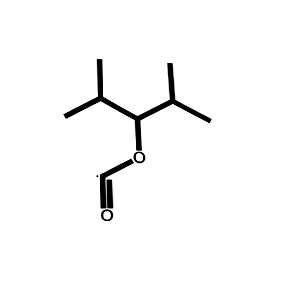 CC(C)C(O[C]=O)C(C)C